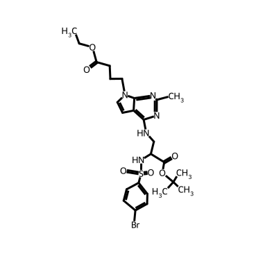 CCOC(=O)CCCn1ccc2c(NCC(NS(=O)(=O)c3ccc(Br)cc3)C(=O)OC(C)(C)C)nc(C)nc21